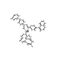 c1ccc2c(-c3ccc(-c4nc(-c5ccc(-c6ccncc6)cc5)cc(-c5ccc6ccc7cccc8ccc5c6c78)n4)cc3)cccc2c1